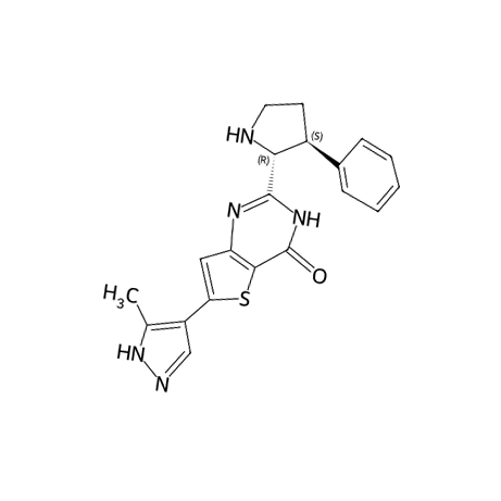 Cc1[nH]ncc1-c1cc2nc([C@@H]3NCC[C@H]3c3ccccc3)[nH]c(=O)c2s1